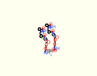 CC(C)(C)OC(=O)NCCOCCOCC(=O)N1CCN(C(=O)c2cc(Cc3n[nH]c(=O)c4ccccc34)ccc2F)CC1.NCCOCCOCC(=O)N1CCN(C(=O)c2cc(Cc3n[nH]c(=O)c4ccccc34)ccc2F)CC1